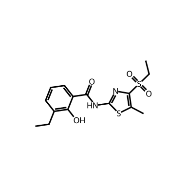 CCc1cccc(C(=O)Nc2nc(S(=O)(=O)CC)c(C)s2)c1O